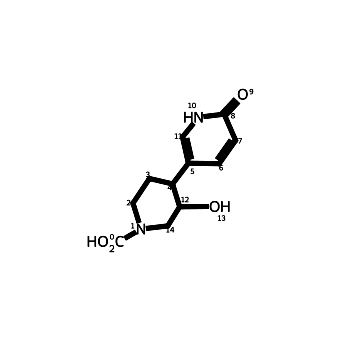 O=C(O)N1CCC(c2ccc(=O)[nH]c2)C(O)C1